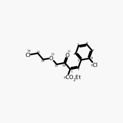 CCOC(=O)C(=Cc1ccccc1Cl)C(=O)COCCCl